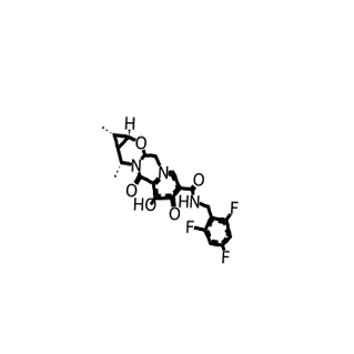 C[C@@H]1C2[C@H](C)[C@H]2OC2Cn3cc(C(=O)NCc4c(F)cc(F)cc4F)c(=O)c(O)c3C(=O)N21